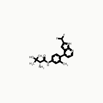 Cc1cc(NC(=O)[C@H](N)C(C)(C)O)ccc1-c1ccnc2[nH]c(C(F)F)cc12